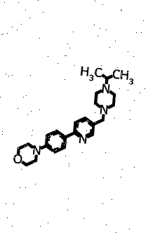 CC(C)N1CCN(Cc2ccc(-c3ccc(N4CCOCC4)cc3)nc2)CC1